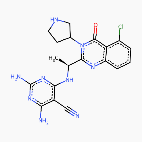 C[C@H](Nc1nc(N)nc(N)c1C#N)c1nc2cccc(Cl)c2c(=O)n1C1CCNC1